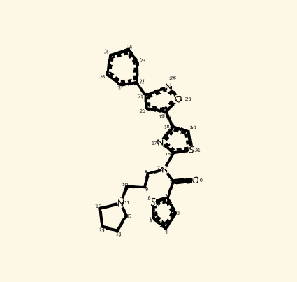 O=C(c1cccs1)N(CCCN1CCCC1)c1nc(-c2cc(-c3ccccc3)no2)cs1